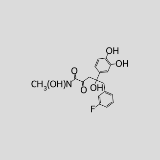 CN(O)C(=O)C(=O)CC(O)(Cc1cccc(F)c1)c1ccc(O)c(O)c1